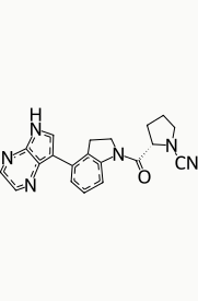 N#CN1CCC[C@H]1C(=O)N1CCc2c(-c3c[nH]c4nccnc34)cccc21